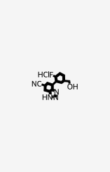 Cl.N#Cc1cc(-c2cc(CO)ccc2F)c2nn[nH]c2c1